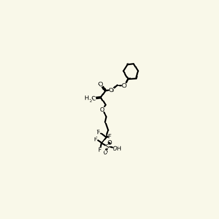 C=C(COCCCC(F)(F)C(F)(F)S(=O)(=O)O)C(=O)OCOC1CCCCC1